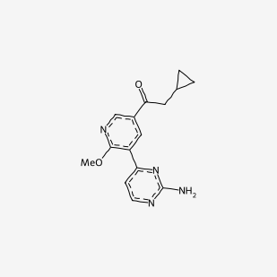 COc1ncc(C(=O)CC2CC2)cc1-c1ccnc(N)n1